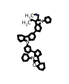 C=Cc1c(/C=C\C)n(-c2ccccc2)c2ccc(-c3ccc4c(c3)c3ccccc3n4-c3cccc(-c4cccc5c6c7ccccc7oc6n(-c6ccccc6)c45)c3)cc12